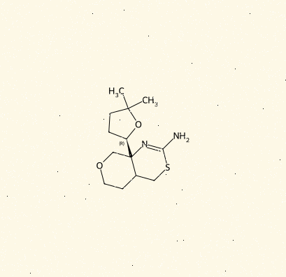 CC1(C)CC[C@H](C23COCCC2CSC(N)=N3)O1